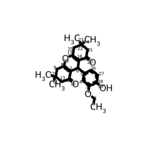 CCOc1cc(C2C3=C(CC(C)(C)CC3=O)OC3=C2C(=O)CC(C)(C)C3)ccc1O